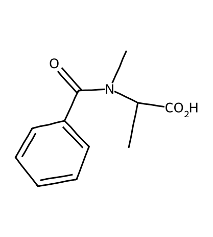 CC(C(=O)O)N(C)C(=O)c1ccccc1